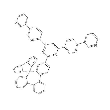 c1cncc(-c2ccc(-c3cc(-c4ccc(-c5cccnc5)cc4)nc(-c4ccc5c(c4)C4(c6ccccc6-c6ccccc6-5)c5ccccc5-c5ccccc54)n3)cc2)c1